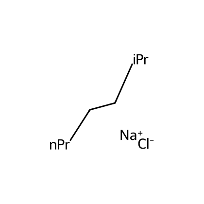 [CH2]CCCCC(C)C.[Cl-].[Na+]